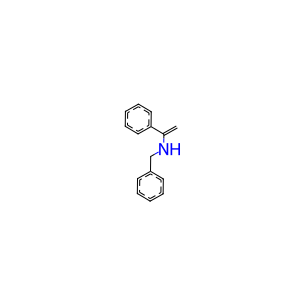 C=C(NCc1ccccc1)c1ccccc1